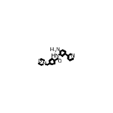 Nc1ccc(-c2cccnc2)cc1NC(=O)c1ccc(CN2CCOCC2)cc1